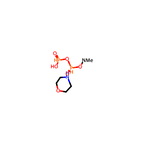 C1COCCN1.CNO[PH](=O)O[PH](=O)O